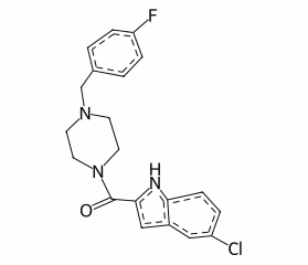 O=C(c1cc2cc(Cl)ccc2[nH]1)N1CCN(Cc2ccc(F)cc2)CC1